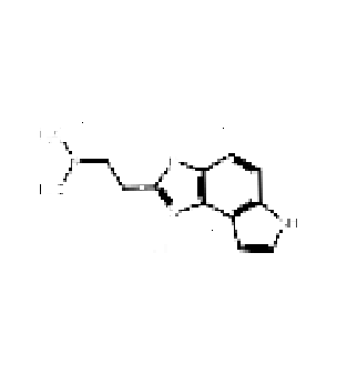 CN(C)CCc1nc2c(ccc3[nH]ccc32)o1.Cl